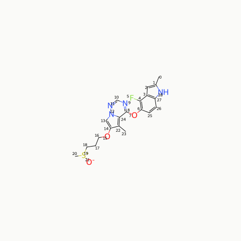 Cc1cc2c(F)c(Oc3ncnn4cc(OCCC[S+](C)[O-])c(C)c34)ccc2[nH]1